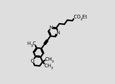 CCOC(=O)CCCCc1ncc(C#Cc2cc3c(cc2C)OCCC3(C)C)cn1